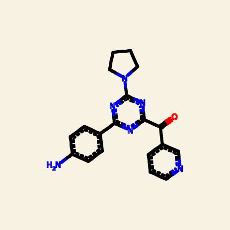 Nc1ccc(-c2nc(C(=O)c3cccnc3)nc(N3CCCC3)n2)cc1